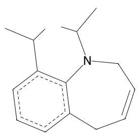 CC(C)c1cccc2c1N(C(C)C)CC=CC2